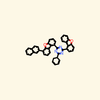 C1=CCC(c2nc(-c3cccc4oc5ccccc5c34)nc(-c3cccc4oc5c(-c6ccc7ccccc7c6)cccc5c34)n2)C=C1